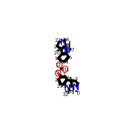 CN1CC[C@@]2(C)c3cc(OC(=O)Oc4ccc5c(c4)[C@]4(C)CCN(C)[C@@H]4N5C)ccc3N(C)[C@@H]12